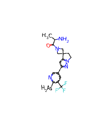 CC(N)C(=O)N1CC2(CCn3nc(-c4cnc([AsH2])c(C(F)(F)F)c4)cc32)C1